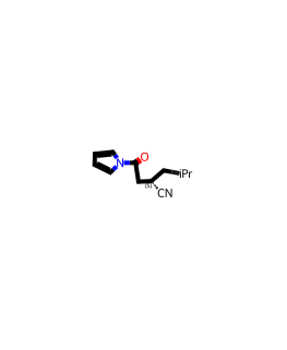 CC(C)C[C@H](C#N)CC(=O)n1cccc1